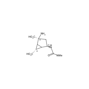 CNC(=O)N[C@@H]1C[C@@](N)(C(=O)O)C2C1[C@@H]2C(=O)O